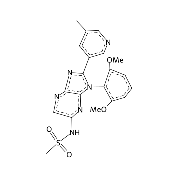 COc1cccc(OC)c1-n1c(-c2cncc(C)c2)nc2ncc(NS(C)(=O)=O)nc21